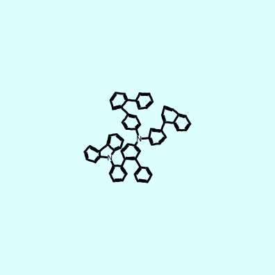 c1ccc(-c2ccccc2-c2ccc(N(c3cccc(-c4cccc5ccccc45)c3)c3ccc(-c4ccccc4-n4c5ccccc5c5ccccc54)c(-c4ccccc4)c3)cc2)cc1